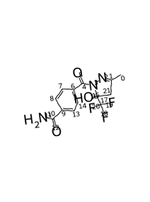 CC1=NN(C(=O)c2ccc(C(N)=O)cc2)C(O)(C(F)(F)F)C1